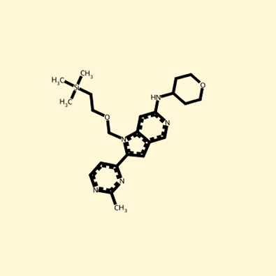 Cc1nccc(-c2cc3cnc(NC4CCOCC4)cc3n2COCC[Si](C)(C)C)n1